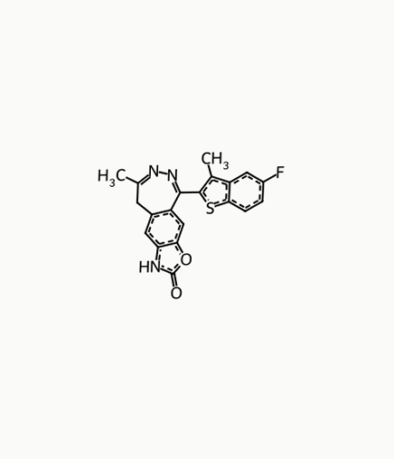 CC1=NN=C(c2sc3ccc(F)cc3c2C)c2cc3oc(=O)[nH]c3cc2C1